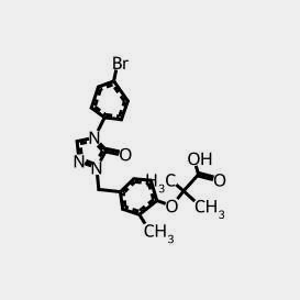 Cc1cc(Cn2ncn(-c3ccc(Br)cc3)c2=O)ccc1OC(C)(C)C(=O)O